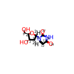 [2H][C@@H]1[C@H](O)[C@@H](CO)O[C@@]1([2H])n1ccc(=O)[nH]c1=O